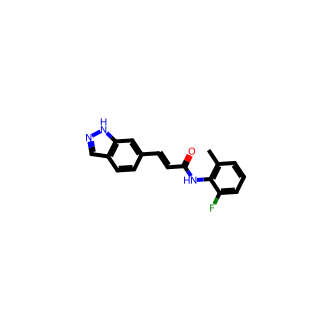 Cc1cccc(F)c1NC(=O)/C=C/c1ccc2cn[nH]c2c1